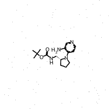 CC(C)(C)OC(=O)NC[C@H]1CCCN1c1ccncc1N